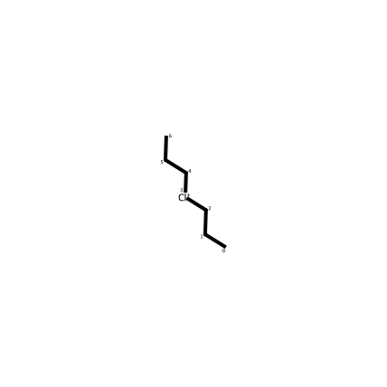 CCC[Cl+]CCC